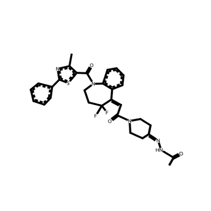 CC(=O)NN=C1CCN(C(=O)/C=C2/c3ccccc3N(C(=O)c3sc(-c4ccccc4)nc3C)CCC2(F)F)CC1